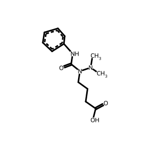 CN(C)N(CCCC(=O)O)C(=O)Nc1ccccc1